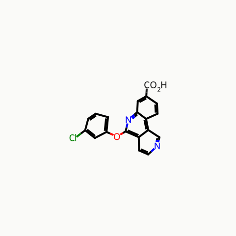 O=C(O)c1ccc2c(c1)nc(Oc1cccc(Cl)c1)c1ccncc12